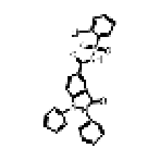 O=C(NS(=O)(=O)c1ccccc1Cl)c1ccc2c(c1)c(=O)n(-c1ccccc1)n2-c1ccccc1